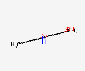 CCCCCCCCCCCCCCCCCCCCCCCCCC(=O)NCCCCCCCCCCCCCCCCCCCCCCCCC(CC)C(=O)O